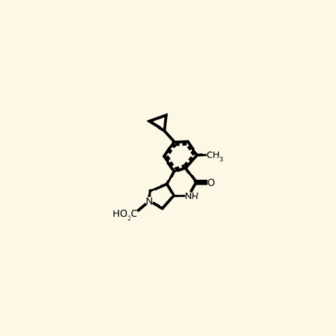 Cc1cc(C2CC2)cc2c1C(=O)NC1CN(C(=O)O)CC21